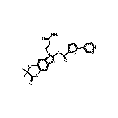 CC1(C)Oc2cc3c(cc2NC1=O)nc(NC(=O)c1ccc(-c2ccncc2)s1)n3CCC(N)=O